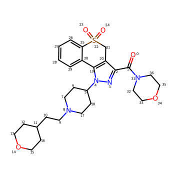 O=C(c1nn(C2CCN(CCC3CCOCC3)CC2)c2c1CS(=O)(=O)c1ccccc1-2)N1CCOCC1